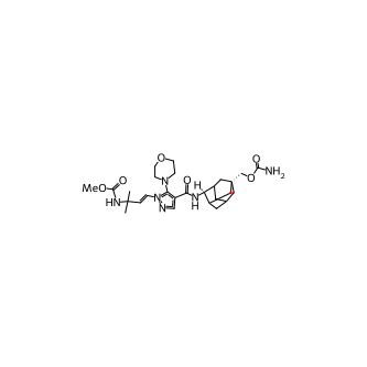 COC(=O)NC(C)(C)/C=C/n1ncc(C(=O)N[C@H]2C3CC4CC2C[C@](COC(N)=O)(C4)C3)c1N1CCOCC1